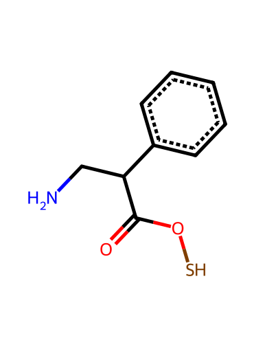 NCC(C(=O)OS)c1ccccc1